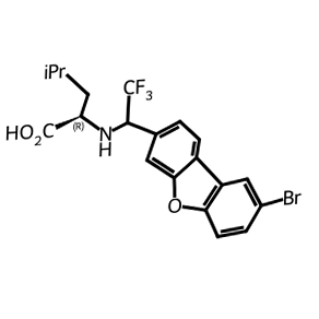 CC(C)C[C@@H](NC(c1ccc2c(c1)oc1ccc(Br)cc12)C(F)(F)F)C(=O)O